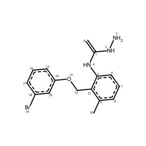 C=C(NN)Nc1cccc(C)c1COc1cccc(Br)c1